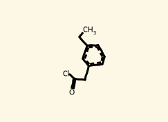 CCc1cccc(CC(=O)Cl)c1